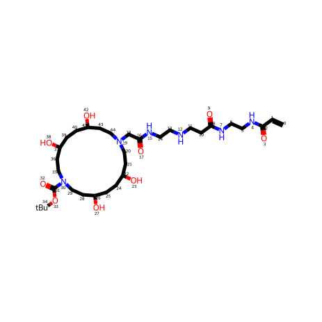 C=CC(=O)NCCNC(=O)CCNCCNC(=O)CN1CCC(O)CCC(O)CCN(C(=O)OC(C)(C)C)CCC(O)CCC(O)CC1